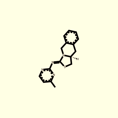 Cc1ccnc(/N=C2\SC[C@@H]3Cc4ccccc4CN23)n1